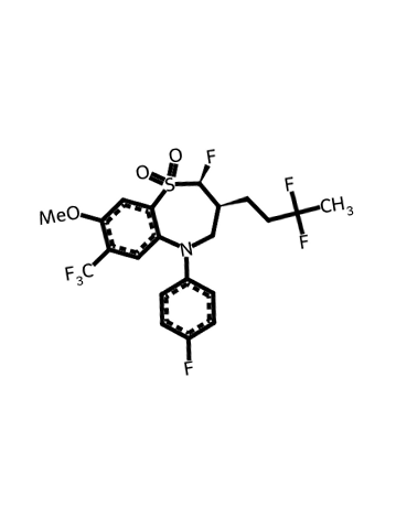 COc1cc2c(cc1C(F)(F)F)N(c1ccc(F)cc1)C[C@H](CCC(C)(F)F)[C@H](F)S2(=O)=O